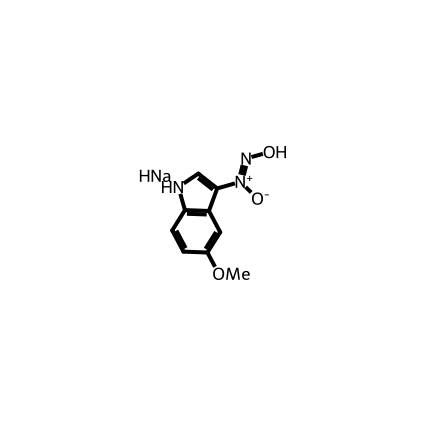 COc1ccc2[nH]cc([N+]([O-])=NO)c2c1.[NaH]